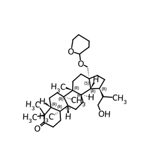 CC(CO)[C@@H]1CC[C@]2(COC3CCCCO3)CC[C@]3(C)[C@H](CC[C@@H]4[C@@]5(C)CCC(=O)C(C)(C)[C@@H]5CC[C@]43C)[C@@H]12